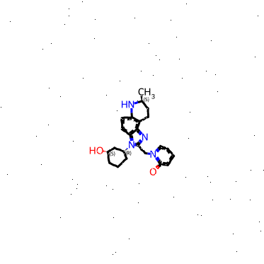 C[C@H]1CCc2c(ccc3c2nc(Cn2ccccc2=O)n3[C@@H]2CCC[C@H](O)C2)N1